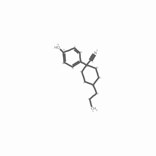 CCCC1CCC(C#N)(c2ccc(O)cc2)CC1